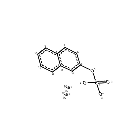 O=P([O-])([O-])Oc1ccc2ccccc2c1.[Na+].[Na+]